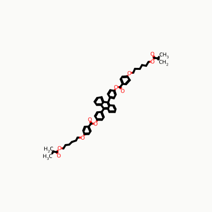 C=C(C)C(=O)OCCCCCCOc1ccc(C(=O)Oc2ccc(-c3c4ccccc4c(-c4ccc(OC(=O)c5ccc(OCCCCCCOC(=O)C(=C)C)cc5)cc4)c4ccccc34)cc2)cc1